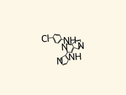 Clc1ccc(Nc2nc3c4cnccc4[nH]c3c3cnccc23)cc1